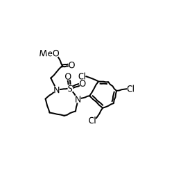 COC(=O)CN1CCCCN(c2c(Cl)cc(Cl)cc2Cl)S1(=O)=O